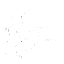 O=P([O-])([O-])OP(=O)(O)O.OCCNCCO.OCCNCCO.[Na+].[Na+]